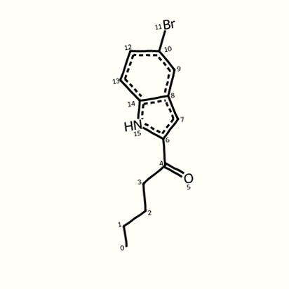 CCCCC(=O)c1cc2cc(Br)ccc2[nH]1